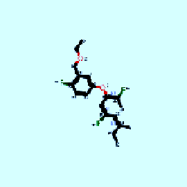 CCOCc1cc(OC(/C=C(F)\C=C(\C)CC)=C(/C)F)ccc1F